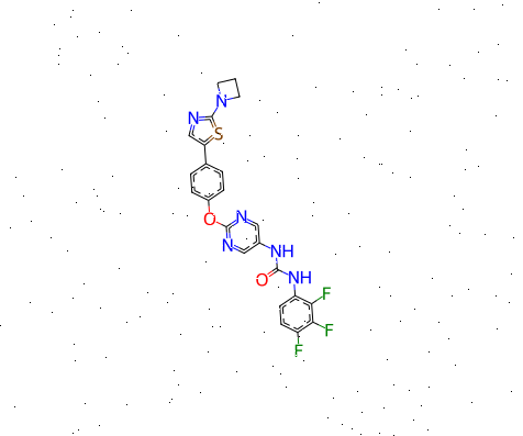 O=C(Nc1cnc(Oc2ccc(-c3cnc(N4CCC4)s3)cc2)nc1)Nc1ccc(F)c(F)c1F